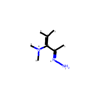 CC(C)=C(/C(C)=N/N)N(C)C